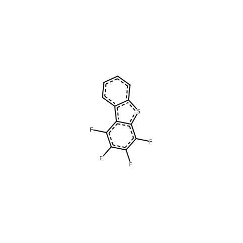 Fc1c(F)c(F)c2c(sc3ccccc32)c1F